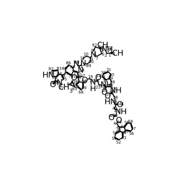 C#CCNC1(C)CCN(C2CCN(c3nc([C@@](COCNC(=O)CNC(=O)[C@H](Cc4ccccc4)NC(=O)CNC(=O)CNC(=O)OCC4c5ccccc5-c5ccccc54)(OC4CC4)c4ccccc4)c4cc(-c5cn(C)c(=O)c6[nH]ccc56)ccc4n3)CC2)CC1